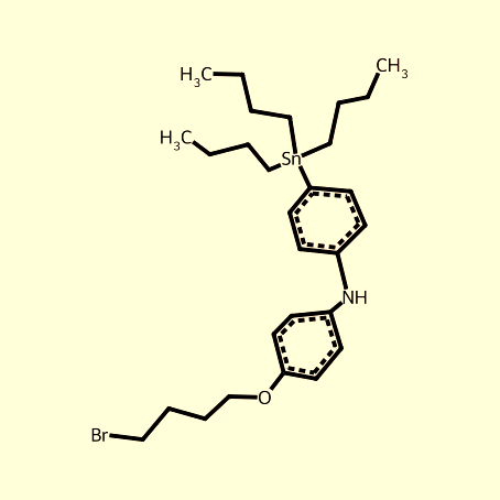 CCC[CH2][Sn]([CH2]CCC)([CH2]CCC)[c]1ccc(Nc2ccc(OCCCCBr)cc2)cc1